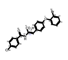 O=C(O)/C(=C\c1ccc(Oc2ccccc2Br)cc1)NC(=O)c1ccc(Cl)cc1